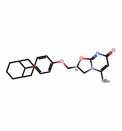 CCCCc1cc(=O)nc2n1C[C@@H](COc1ccc(C3C4CCCC3CCC4)cc1)O2